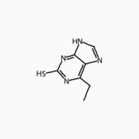 CCc1nc(S)nc2[nH]cnc12